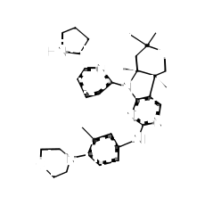 Cc1cc(Nc2ncc3c(n2)N(c2cccc([C@H]4CCCN4)n2)[C@@H]2CC(C)(C)OC[C@]32C)ccc1N1CCOCC1